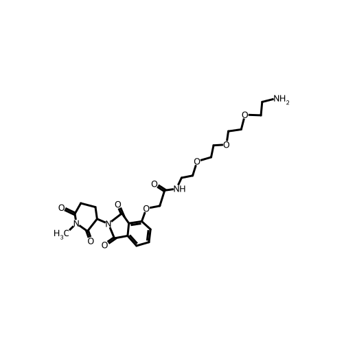 CN1C(=O)CCC(N2C(=O)c3cccc(OCC(=O)NCCOCCOCCOCCN)c3C2=O)C1=O